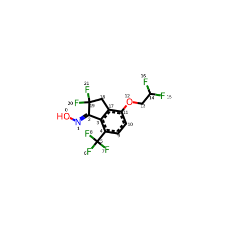 O/N=C1/c2c(C(F)(F)F)ccc(OCC(F)F)c2CC1(F)F